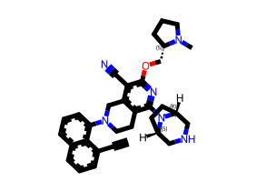 C#Cc1cccc2cccc(N3CCc4c(N5[C@@H]6CC[C@H]5CNC6)nc(OC[C@@H]5CCCN5C)c(C#N)c4C3)c12